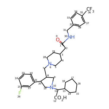 O=C(CC1CCN(CC2CN(C(C(=O)O)C3CCCCC3)CC2c2cccc(F)c2)CC1)NCc1ccc(C(F)(F)F)cc1